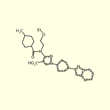 CCOCCN(C(=O)C1CCC(C)CC1)c1nn(-c2ccc(-c3cc4ncccn4n3)cc2)cc1C(=O)O